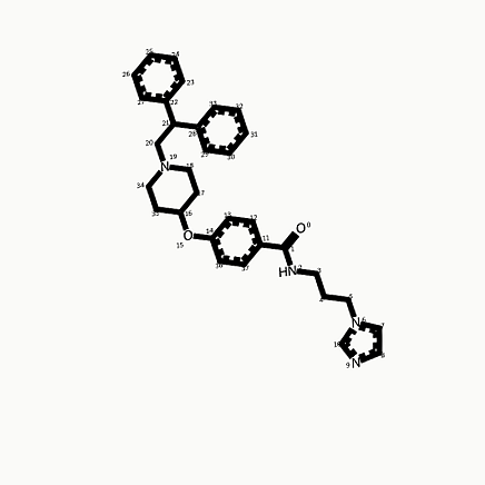 O=C(NCCCn1ccnc1)c1ccc(OC2CCN(CC(c3ccccc3)c3ccccc3)CC2)cc1